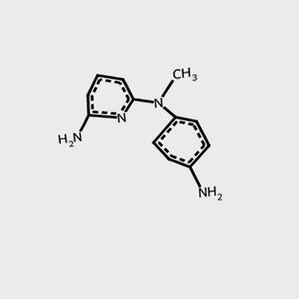 CN(c1ccc(N)cc1)c1cccc(N)n1